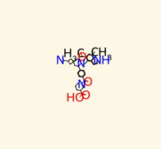 COc1cc(C)c2[nH]ccc2c1CN1CCC2(CC(C#N)C2)CC1c1ccc(C(=O)N2CCCC(C(=O)O)C2)cc1